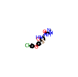 Cn1cnc(C(=O)NC[C@@H]2CCS[C@H](c3ccc(Oc4ccc(Cl)cc4)cc3)C(=O)N2)c1